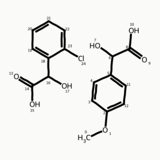 COc1ccc(C(O)C(=O)O)cc1.O=C(O)C(O)c1ccccc1Cl